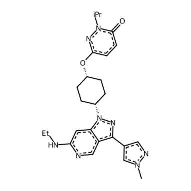 CCNc1cc2c(cn1)c(-c1cnn(C)c1)nn2[C@H]1CC[C@@H](Oc2ccc(=O)n(C(C)C)n2)CC1